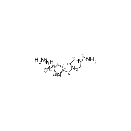 NCN1CCN(Cc2ccc(C(=O)NN)cn2)CC1